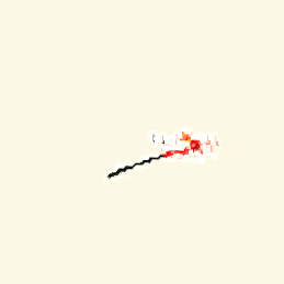 CCCCCCCCCCCCCCCC(=O)OCC(O)CO[C@H]1O[C@H](CS(=O)(=O)[O-])[C@@H](O)[C@H](O)[C@@H]1O.[Na+]